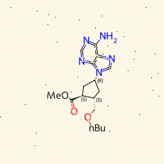 CCCCOC[C@H]1C[C@@H](n2cnc3c(N)ncnc32)C[C@@H]1C(=O)OC